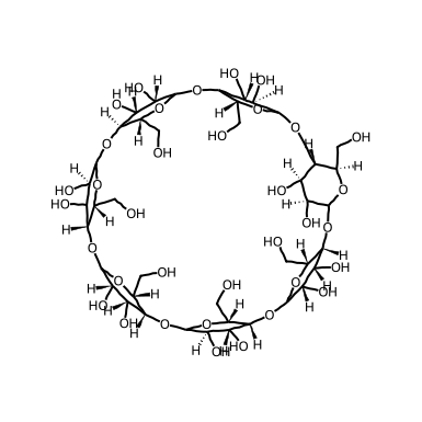 OC[C@H]1OC2O[C@H]3[C@H](O)[C@H](O)C(O[C@@H]4[C@H](O)[C@H](O)C(O[C@@H]5[C@H](O)[C@@H](O)C(O[C@@H]6[C@H](O)[C@H](O)C(O[C@@H]7C(O)[C@@H](O)C(O[C@H]8[C@H](O)[C@H](O)C(OC1[C@H](O)[C@H]2O)O[C@@H]8CO)O[C@@H]7CO)O[C@@H]6CO)O[C@@H]5CO)O[C@@H]4CO)O[C@@H]3CO